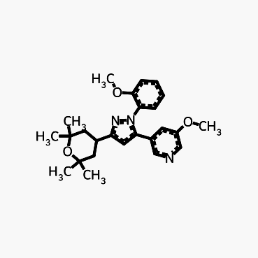 COc1cncc(-c2cc(C3CC(C)(C)OC(C)(C)C3)nn2-c2ccccc2OC)c1